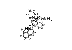 NCc1cccc(NC(=O)Nc2c(F)cccc2F)c1S(=O)(=O)N1CCCCC1